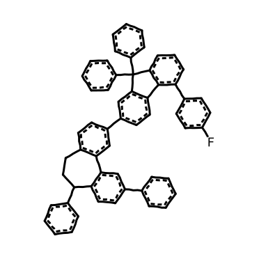 Fc1ccc(-c2cccc3c2-c2ccc(-c4ccc5c(c4)-c4cc(-c6ccccc6)ccc4C(c4ccccc4)CC5)cc2C3(c2ccccc2)c2ccccc2)cc1